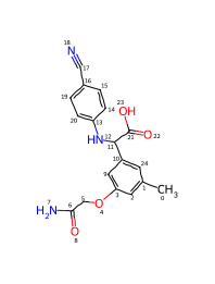 Cc1cc(OCC(N)=O)cc(C(Nc2ccc(C#N)cc2)C(=O)O)c1